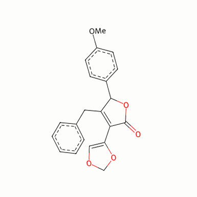 COc1ccc(C2OC(=O)C(C3=COCO3)=C2Cc2ccccc2)cc1